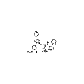 COc1ccc(-c2nc(-c3ccncc3)nn2CCN(C(=O)c2c(-c3c(F)cccc3Cl)noc2C)C2CCCC2)cc1Cl